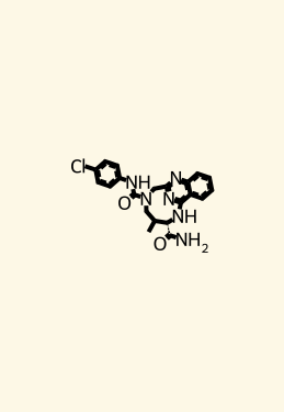 CC1CN(C(=O)Nc2ccc(Cl)cc2)Cc2nc(c3ccccc3n2)N[C@@H]1C(N)=O